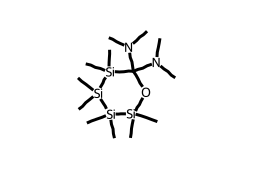 CN(C)C1(N(C)C)O[Si](C)(C)[Si](C)(C)[Si](C)(C)[Si]1(C)C